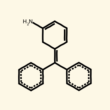 NC1=CC=CC(=C(c2ccccc2)c2ccccc2)C1